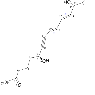 COC(=O)CCC[C@H](O)C#C/C=C/C=C/[C@H](O)CC(C)C